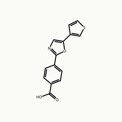 O=C(O)c1ccc(-c2ncc(-c3ccsc3)o2)cc1